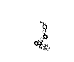 CCCCOc1c(C)c(COc2cccc(OCC3CCN(C(C)=O)CC3)c2)nc2ccccc12